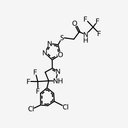 O=C(CSc1nnc(C2=NNC(c3cc(Cl)cc(Cl)c3)(C(F)(F)F)C2)o1)NC(F)(F)F